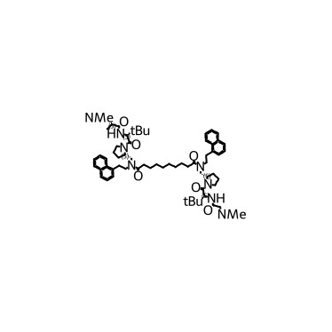 CNCC(=O)N[C@H](C(=O)N1CCC[C@H]1CN(CCc1cccc2ccccc12)C(=O)CCCCCCCCC(=O)N(CCc1cccc2ccccc12)C[C@@H]1CCCN1C(=O)[C@@H](NC(=O)[C@H](C)NC)C(C)(C)C)C(C)(C)C